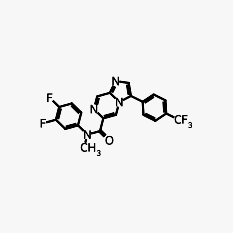 CN(C(=O)c1cn2c(-c3ccc(C(F)(F)F)cc3)cnc2cn1)c1ccc(F)c(F)c1